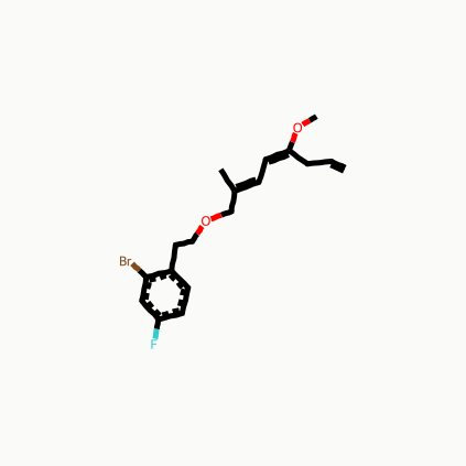 C=CC/C(=C\C=C(/C)COCCc1ccc(F)cc1Br)OC